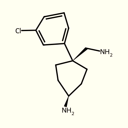 NC[C@]1(c2cccc(Cl)c2)CC[C@H](N)CC1